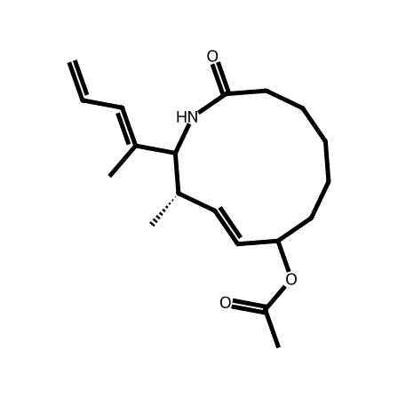 C=C/C=C(\C)C1NC(=O)CCCCCC(OC(C)=O)/C=C/[C@@H]1C